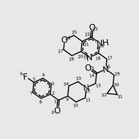 O=C(c1ccc(F)cc1)C1CCN(CC(=O)N(Cc2nc3c(c(=O)[nH]2)COCC3)CC2CC2)CC1